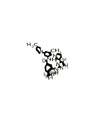 [2H]c1nc(Nc2cc(C(=O)Nc3cc(C)cc(-n4ccc(C)c4)c3)ccc2C([2H])([2H])[2H])nc(-c2cccnc2)c1[2H]